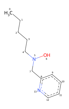 CCCCCN(O)Cc1ccccn1